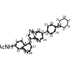 CC(=O)Nc1ccc2c(-c3cnn4cc(-c5ccc(N6CCCCC6)cc5)cnc34)ccnc2c1